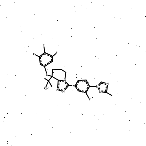 Cc1ncn(-c2ccc(-c3nnc4n3CCCC4(Oc3cc(F)c(F)c(F)c3)C(C)(C)O)cc2F)n1